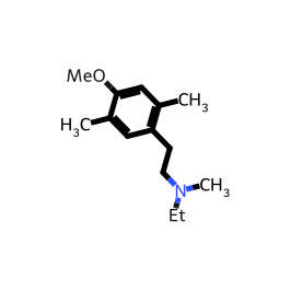 CCN(C)CCc1cc(C)c(OC)cc1C